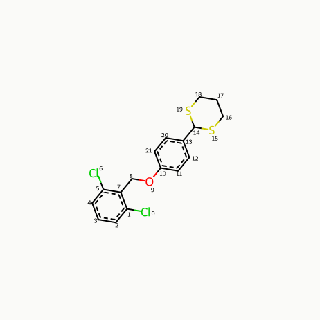 Clc1cccc(Cl)c1COc1ccc(C2SCCCS2)cc1